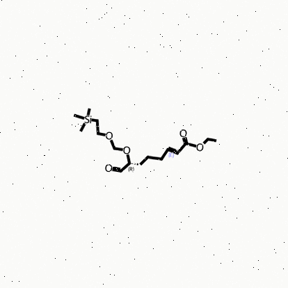 CCOC(=O)/C=C/CCC[C@H](C=O)OCOCC[Si](C)(C)C